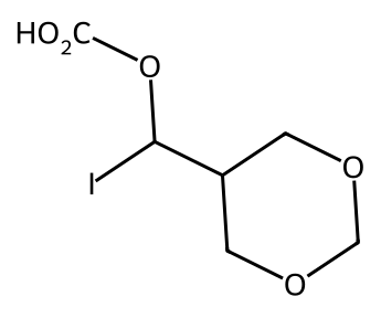 O=C(O)OC(I)C1COCOC1